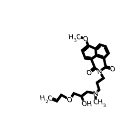 C=CCOCC(O)CN(C)CCCN1C(=O)c2cccc3c(OC)ccc(c23)C1=O